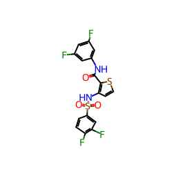 O=C(Nc1cc(F)cc(F)c1)c1sccc1NS(=O)(=O)c1ccc(F)c(F)c1